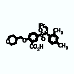 Cc1ccc(N(CC(C)C)S(=O)(=O)c2ccc(OCC3CCOCC3)c(C(=O)O)c2)c(C)c1